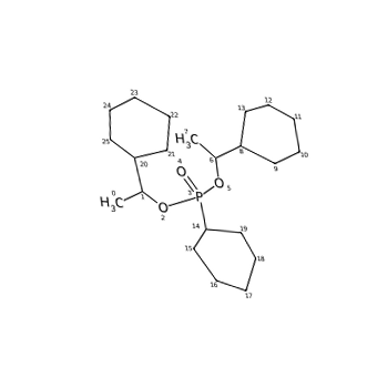 CC(OP(=O)(OC(C)C1CCCCC1)C1CCCCC1)C1CCCCC1